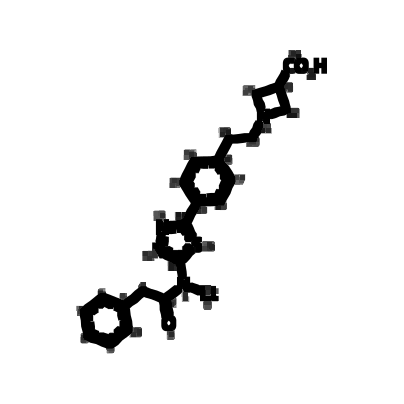 CCN(C(=O)Cc1ccccc1)c1nnc(-c2ccc(CCN3CC(C(=O)O)C3)cc2)s1